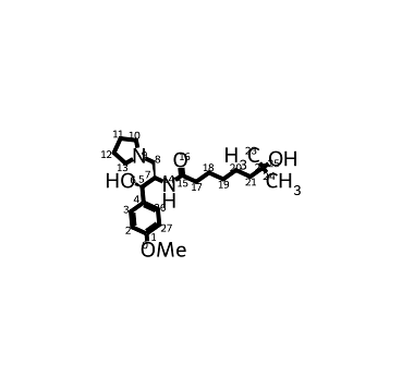 COc1ccc([C@@H](O)[C@@H](CN2CCCC2)NC(=O)CCCCCC(C)(C)O)cc1